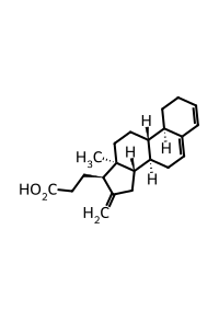 C=C1C[C@H]2[C@@H]3CC=C4C=CCC[C@@H]4[C@H]3CC[C@]2(C)[C@@H]1CCC(=O)O